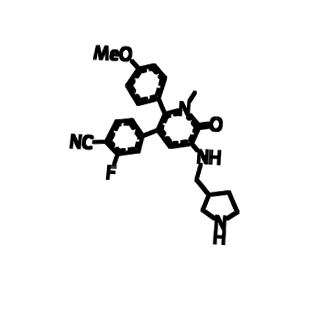 COc1ccc(-c2c(-c3ccc(C#N)c(F)c3)cc(NCC3CCNC3)c(=O)n2C)cc1